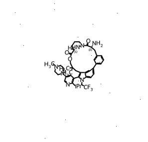 CC(C)c1ncc(N2CCN(C)CC2)cc1-c1c2c3cc(ccc3n1CC(F)(F)F)-c1cccc(c1)C[C@H](N)C(=O)N1CCC[C@H](N1)C(=O)OCC(C)(C)C2